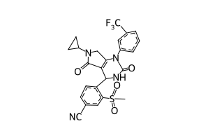 CS(=O)(=O)c1cc(C#N)ccc1C1NC(=O)N(c2cccc(C(F)(F)F)c2)C2=C1C(=O)N(C1CC1)C2